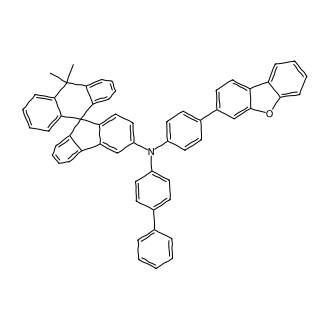 CC1(C)c2ccccc2C2(c3ccccc3-c3cc(N(c4ccc(-c5ccccc5)cc4)c4ccc(-c5ccc6c(c5)oc5ccccc56)cc4)ccc32)c2ccccc21